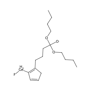 CCCCOC([O])(CCCC1=[C]([GeH2][F])C=CC1)OCCCC